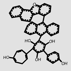 OC1=CCC=C(c2c(O)c(-c3ccc(O)cc3)c(O)c(-c3c4ccccc4c(-c4cccc5oc6c7ccccc7ccc6c45)c4ccccc34)c2O)C=C1